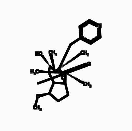 CO[C@@H]1CCC23CC[C@@H](C)[C@](C)(C12)[C@H](O)C[C@@](C)(Cc1ccncc1)C(=O)[C@@H]3C